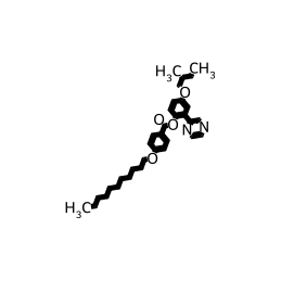 CCCCCCCCCCCOc1ccc(C(=O)Oc2ccc(OCC(C)CC)cc2-c2cnccn2)cc1